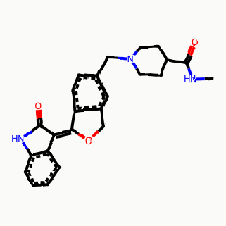 CNC(=O)C1CCN(Cc2ccc3c(c2)CO/C3=C2/C(=O)Nc3ccccc32)CC1